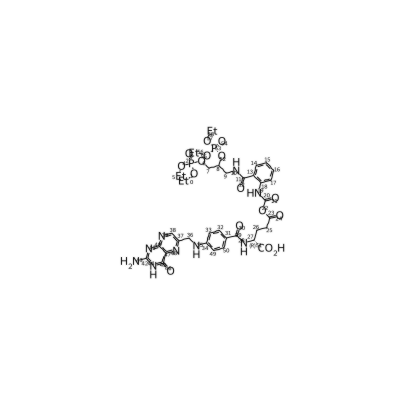 CCOP(=O)(OCC)OCC(CNC(=O)c1ccccc1NC(=O)OC(=O)CC[C@@H](NC(=O)c1ccc(NCc2cnc3nc(N)[nH]c(=O)c3n2)cc1)C(=O)O)OP(=O)(OCC)OCC